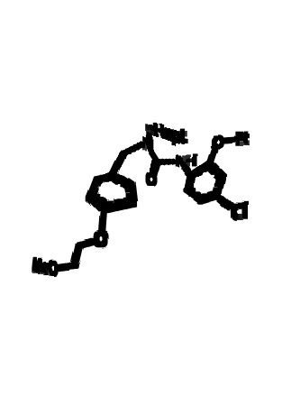 CCCCCCCN(Cc1ccc(OCCOC)cc1)C(=O)Nc1ccc(Cl)cc1OCC